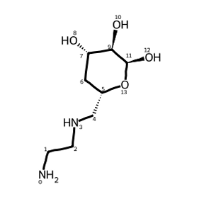 NCCNC[C@@H]1C[C@H](O)[C@@H](O)[C@@H](O)O1